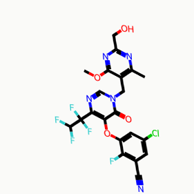 COc1nc(CO)nc(C)c1Cn1cnc(C(F)(F)C(F)F)c(Oc2cc(Cl)cc(C#N)c2F)c1=O